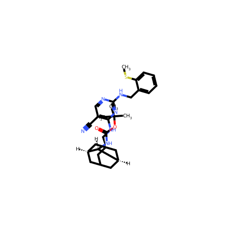 CSc1ccccc1CNc1ncc(C#N)c(NC[C@]23CC4C[C@H](C2)[C@H](NC(=O)OC(C)(C)C)[C@@H](C4)C3)n1